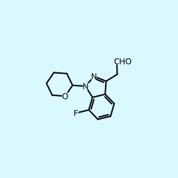 O=CCc1nn(C2CCCCO2)c2c(F)cccc12